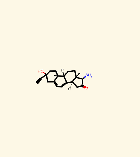 C#CC1(O)CC[C@@]2(C)C(=CC=C3[C@H]2CC[C@]2(C)C(N)C(=O)C[C@@H]32)C1